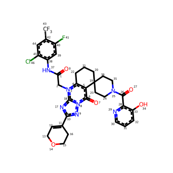 O=C(Cn1c2c(c(=O)n3nc(C4=CCOCC4)nc13)C1(CCC2)CCN(C(=O)c2ncccc2O)CC1)Nc1cc(F)c(C(F)(F)F)cc1Cl